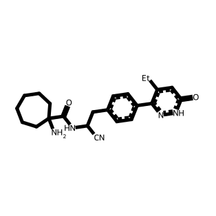 CCc1cc(=O)[nH]nc1-c1ccc(CC(C#N)NC(=O)C2(N)CCCCCC2)cc1